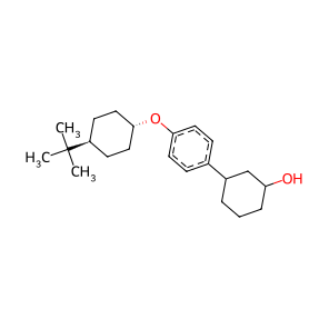 CC(C)(C)[C@H]1CC[C@H](Oc2ccc(C3CCCC(O)C3)cc2)CC1